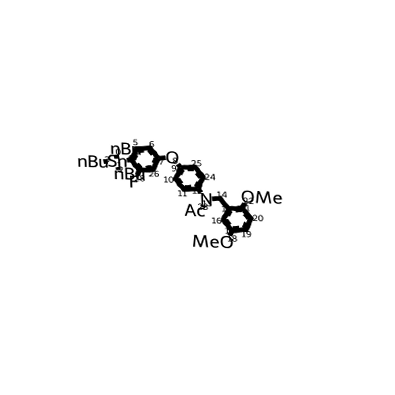 CCC[CH2][Sn]([CH2]CCC)([CH2]CCC)[c]1ccc(Oc2ccc(N(Cc3cc(OC)ccc3OC)C(C)=O)cc2)cc1F